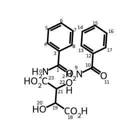 NC(=O)c1ccccc1.NC(=O)c1ccccc1.O=C(O)C(O)C(O)C(=O)O